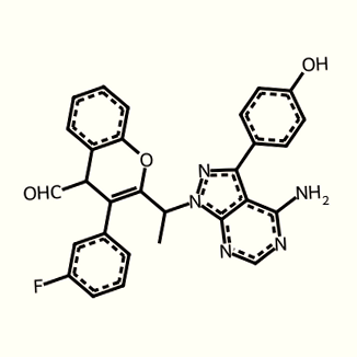 CC(C1=C(c2cccc(F)c2)C(C=O)c2ccccc2O1)n1nc(-c2ccc(O)cc2)c2c(N)ncnc21